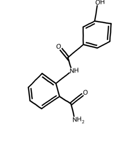 NC(=O)c1ccccc1NC(=O)c1cccc(O)c1